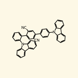 N#Cc1cc(-c2ccccc2-n2c3ccccc3c3ccccc32)c(C#N)cc1-c1ccc(-n2c3ccccc3c3ccccc32)cc1